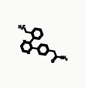 CCc1ccccc1-c1nccnc1-c1ccc(CC(N)=O)cc1